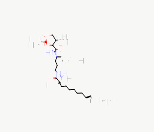 CCCCCCCC=CCCCCCCC(C)(C)C(=O)NCCCC(CC(=O)O)NC(=O)C1OC(C)(C)OCC1(C)C